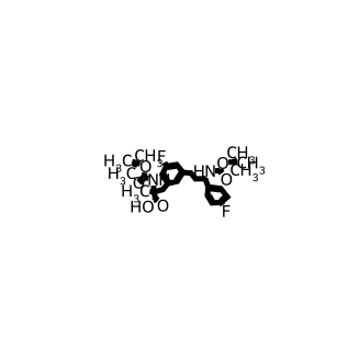 CC(C)(C)OC(=O)NC(CCc1cc(F)cc(CC(C)(NC(=O)OC(C)(C)C)C(=O)O)c1)c1ccc(F)cc1